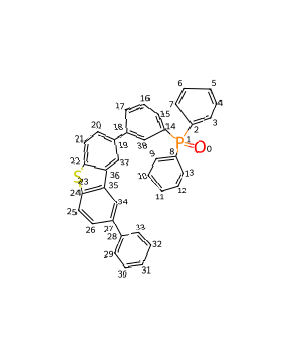 O=P(c1ccccc1)(c1ccccc1)c1cccc(-c2ccc3sc4ccc(-c5ccccc5)cc4c3c2)c1